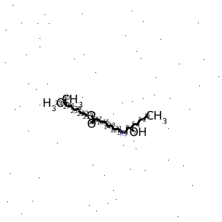 CCCCCCC(O)C/C=C\CCCCCCCC(=O)OCCCCCCCC(C)C